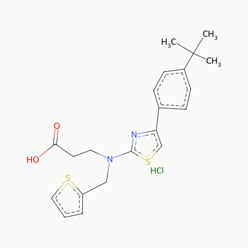 CC(C)(C)c1ccc(-c2csc(N(CCC(=O)O)Cc3cccs3)n2)cc1.Cl